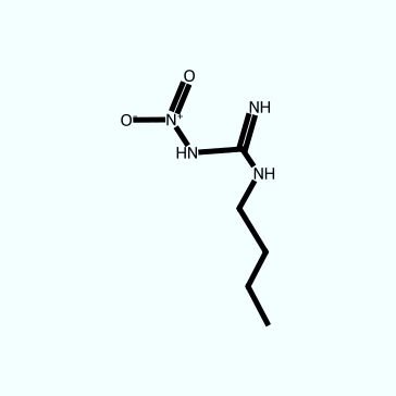 CCCCNC(=N)N[N+](=O)[O-]